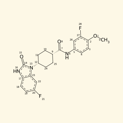 COc1ccc(NC(=O)[C@H]2CC[C@@H](n3c(=O)[nH]c4ccc(F)cc43)CC2)cc1F